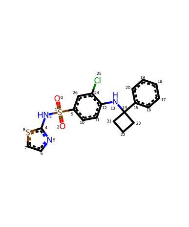 O=S(=O)(Nc1nccs1)c1ccc(NC2(c3ccccc3)CCC2)c(Cl)c1